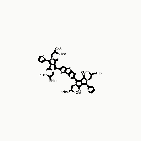 CCCCCCCCC(CCCCCC)CN1C(=O)C2=C(c3cc4oc5cc(C6=C7C(=O)N(CC(CCCCCC)CCCCCCCC)C(c8cccs8)=C7C(=O)N6CC(CCCCCC)CCCCCCCC)sc5c4s3)N(CC(CCCCCC)CCCCCCCC)C(=O)C2=C1c1cccs1